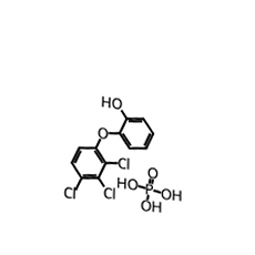 O=P(O)(O)O.Oc1ccccc1Oc1ccc(Cl)c(Cl)c1Cl